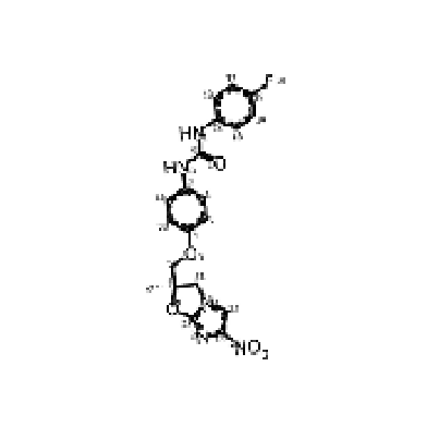 C[C@]1(COc2ccc(NC(=O)Nc3ccc(F)cc3)cc2)Cn2cc([N+](=O)[O-])nc2O1